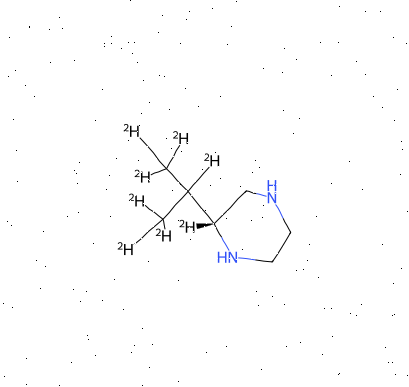 [2H]C([2H])([2H])C([2H])(C([2H])([2H])[2H])[C@]1([2H])CNCCN1